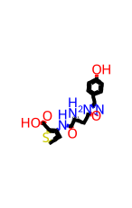 N[C@@H](Cc1nc(-c2ccc(O)cc2)no1)C(=O)Nc1ccsc1C(=O)O